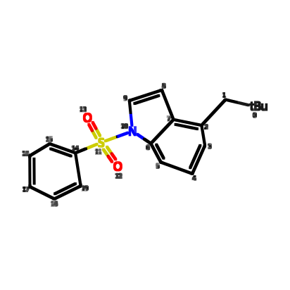 CC(C)(C)Cc1cccc2c1ccn2S(=O)(=O)c1ccccc1